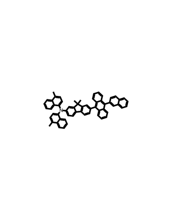 Cc1ccc(N(c2ccc3c(c2)C(C)(C)c2cc(-c4c5ccccc5c(-c5ccc6ccccc6c5)c5ccccc45)ccc2-3)c2ccc(C)c3ccccc23)c2ccccc12